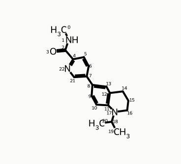 CNC(=O)c1ccc(-c2ccc3c(c2)CCCN3C(C)C)cn1